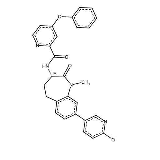 CN1C(=O)[C@@H](NC(=O)c2cc(Oc3ccccc3)ccn2)CCc2ccc(-c3ccc(Cl)nc3)cc21